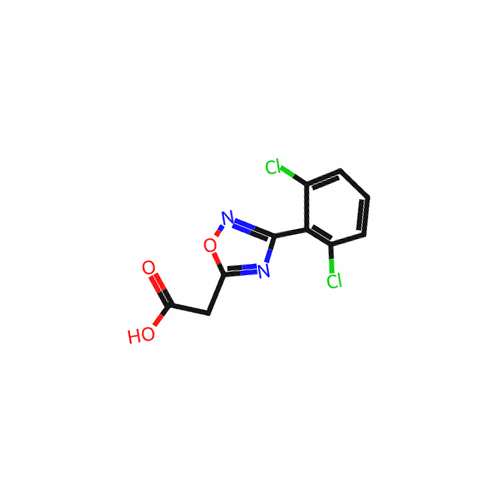 O=C(O)Cc1nc(-c2c(Cl)cccc2Cl)no1